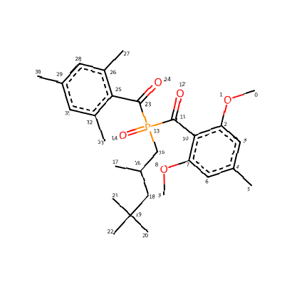 COc1cc(C)cc(OC)c1C(=O)P(=O)(CC(C)CC(C)(C)C)C(=O)c1c(C)cc(C)cc1C